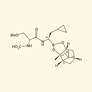 COCC(NC(=O)O)C(=O)N[C@@H](CC1CC1)B1O[C@@H]2C[C@@H]3C[C@@H](C3(C)C)[C@]2(C)O1